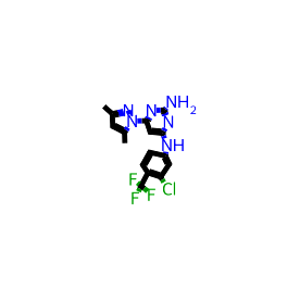 Cc1cc(C)n(-c2cc(Nc3ccc(C(F)(F)F)c(Cl)c3)nc(N)n2)n1